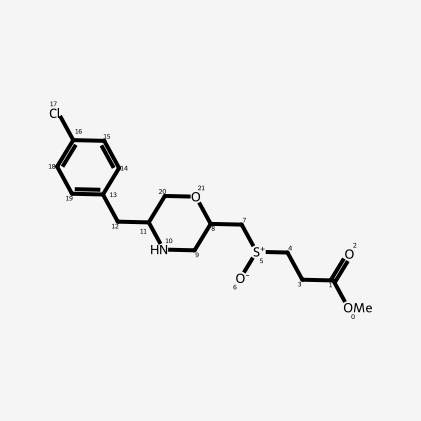 COC(=O)CC[S+]([O-])CC1CNC(Cc2ccc(Cl)cc2)CO1